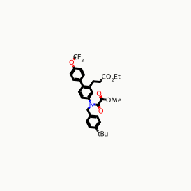 CCOC(=O)CCc1cc(N(Cc2ccc(C(C)(C)C)cc2)C(=O)C(=O)OC)ccc1-c1ccc(OC(F)(F)F)cc1